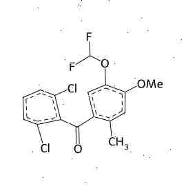 COc1cc(C)c(C(=O)c2c(Cl)cccc2Cl)cc1OC(F)F